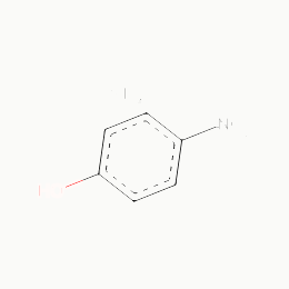 O=[N+]([O-])c1ccc(O)cc1.[SiH4]